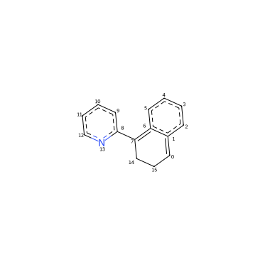 C1=c2ccccc2=C(c2ccccn2)CC1